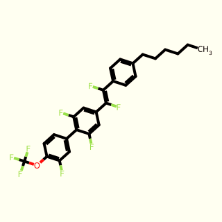 CCCCCCc1ccc(/C(F)=C(\F)c2cc(F)c(-c3ccc(OC(F)(F)F)c(F)c3)c(F)c2)cc1